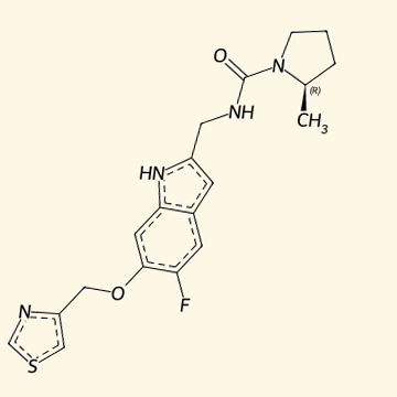 C[C@@H]1CCCN1C(=O)NCc1cc2cc(F)c(OCc3cscn3)cc2[nH]1